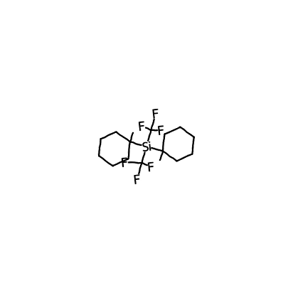 CC1([Si](C(F)(F)F)(C(F)(F)F)C2(C)CCCCC2)CCCCC1